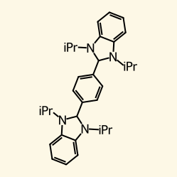 CC(C)N1c2ccccc2N(C(C)C)C1c1ccc(C2N(C(C)C)c3ccccc3N2C(C)C)cc1